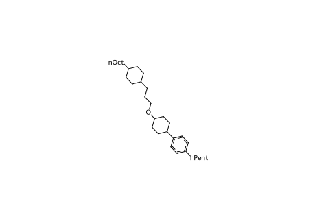 CCCCCCCCC1CCC(CCCOC2CCC(c3ccc(CCCCC)cc3)CC2)CC1